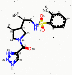 CCC[C@@H](CNS(=O)(=O)c1ccccc1C#N)[C@H]1CN(C(=O)c2cnn[nH]2)C[C@H]1C